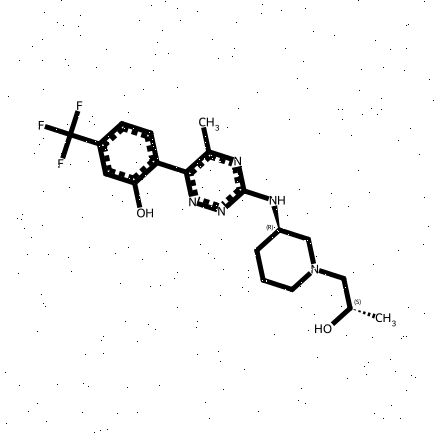 Cc1nc(N[C@@H]2CCCN(C[C@H](C)O)C2)nnc1-c1ccc(C(F)(F)F)cc1O